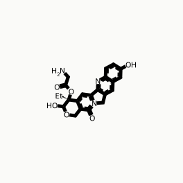 CC[C@]1(OC(=O)CN)c2cc3n(c(=O)c2COC1O)Cc1cc2cc(O)ccc2nc1-3